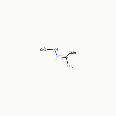 CO/C(C)=N\NC=O